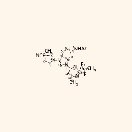 CC(=O)Nc1cc2c(cn1)c(N1CCC(C)(C#N)C1)nn2-c1cc(C)nc(C(C)(F)F)n1